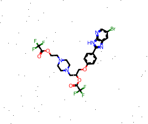 O=C(OCCN1CCN(CC(COc2ccc(-c3nc4cc(Br)cnc4[nH]3)cc2)OC(=O)C(F)(F)F)CC1)C(F)(F)F